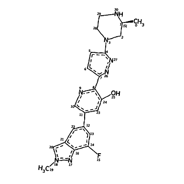 C[C@H]1CN(c2ccc(-c3ncc(-c4cc(F)c5nn(C)cc5c4)cc3O)nn2)CCN1